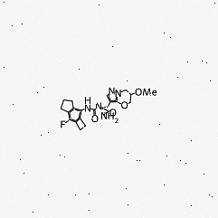 COC1COc2c(S(N)(=O)=NC(=O)Nc3c4c(c(F)c5c3CC5)CCC4)cnn2C1